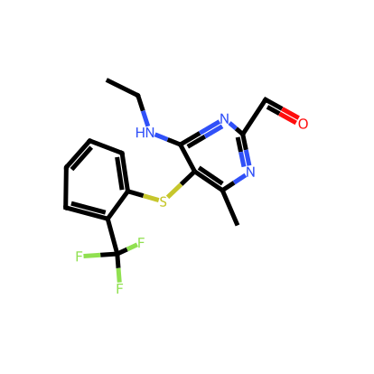 CCNc1nc(C=O)nc(C)c1Sc1ccccc1C(F)(F)F